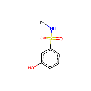 CCNS(=O)(=O)c1cccc(O)c1